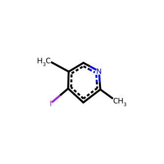 Cc1cc(I)c(C)cn1